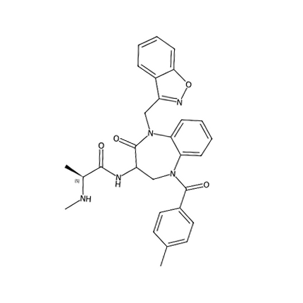 CN[C@@H](C)C(=O)NC1CN(C(=O)c2ccc(C)cc2)c2ccccc2N(Cc2noc3ccccc23)C1=O